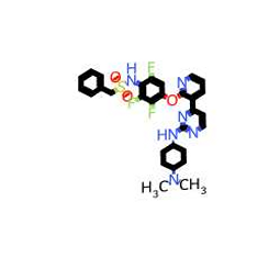 CN(C)[C@H]1CC[C@H](Nc2nccc(-c3cccnc3Oc3cc(F)c(NS(=O)(=O)Cc4ccccc4)c(F)c3F)n2)CC1